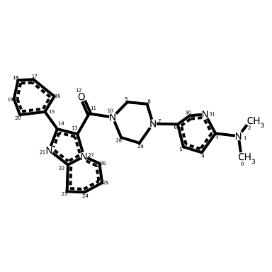 CN(C)c1ccc(N2CCN(C(=O)c3c(-c4ccccc4)nc4ccccn34)CC2)cn1